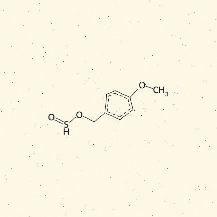 COc1ccc(CO[SH]=O)cc1